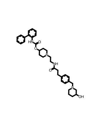 O=C(CCc1ccc(CN2CCCC(O)C2)cc1)NCCN1CCC(OC(=O)Nc2ccccc2-c2ccccc2)CC1